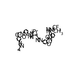 CC(C)n1c(-c2cccc(N3CCOc4ccc(-n5cnc(C6CC6)c5)cc4C3=O)n2)nnc1C1CC1c1cn(-c2ccc3c(c2)C(=O)N(c2cccc(-c4nncn4C(C)C(F)(F)F)n2)CCO3)cn1